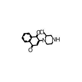 O=C1C=C(N2CCNCC2Cl)C(=O)c2ccccc21